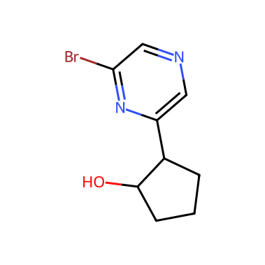 OC1CCCC1c1cncc(Br)n1